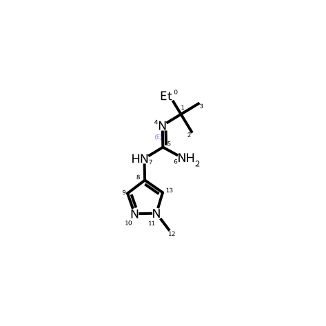 CCC(C)(C)/N=C(\N)Nc1cnn(C)c1